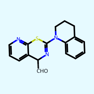 O=CC1N=C(N2CCCc3ccccc32)Sc2ncccc21